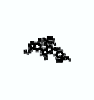 BC(B)(B)Oc1nc(N[C@H]2CC[C@@](C)(O)CC2)nc2[nH]cc(-c3ccc4nnc(C)n4c3)c12